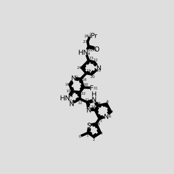 Cc1ccc(-c2nccc3[nH]c(-c4n[nH]c5cnc(-c6cncc(NC(=O)CC(C)C)c6)c(F)c45)nc23)s1